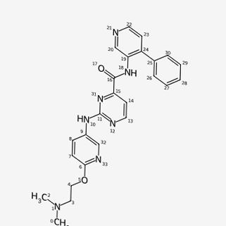 CN(C)CCOc1ccc(Nc2nccc(C(=O)Nc3cnccc3-c3ccccc3)n2)cn1